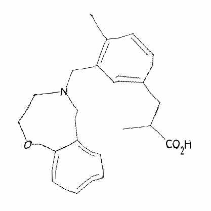 Cc1ccc(CC(C)C(=O)O)cc1CN1CCOc2ccccc2C1